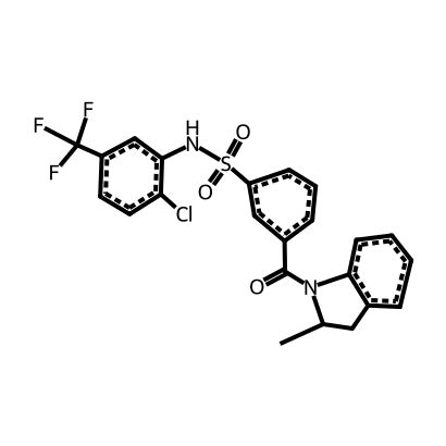 CC1Cc2ccccc2N1C(=O)c1cccc(S(=O)(=O)Nc2cc(C(F)(F)F)ccc2Cl)c1